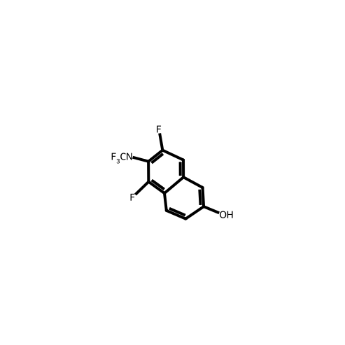 Oc1ccc2c(F)c(NC(F)(F)F)c(F)cc2c1